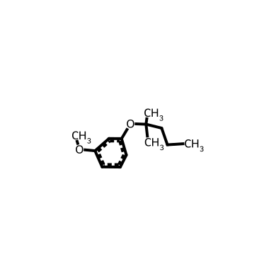 CCCC(C)(C)Oc1cccc(OC)c1